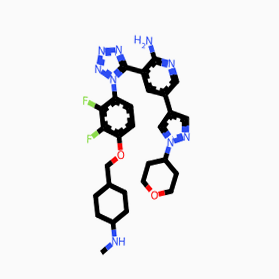 CNC1CCC(COc2ccc(-n3nnnc3-c3cc(-c4cnn(C5CCOCC5)c4)cnc3N)c(F)c2F)CC1